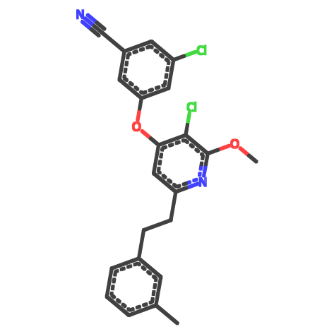 COc1nc(CCc2cccc(C)c2)cc(Oc2cc(Cl)cc(C#N)c2)c1Cl